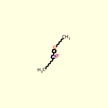 CCCCCCCCOc1ccc(-c2ccc(CCCCCCCC)c[n+]2[O-])cc1